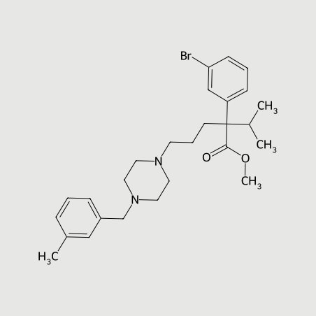 COC(=O)C(CCCN1CCN(Cc2cccc(C)c2)CC1)(c1cccc(Br)c1)C(C)C